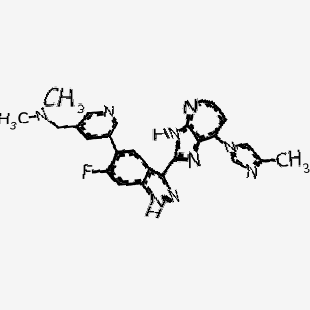 Cc1cn(-c2ccnc3[nH]c(-c4n[nH]c5cc(F)c(-c6cncc(CN(C)C)c6)cc45)nc23)cn1